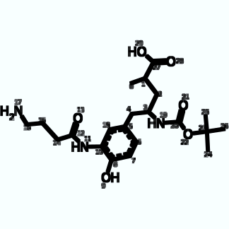 CC(CC(Cc1ccc(O)c(NC(=O)CCCN)c1)NC(=O)OC(C)(C)C)C(=O)O